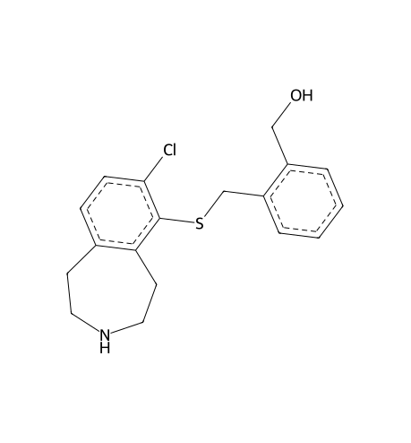 OCc1ccccc1CSc1c(Cl)ccc2c1CCNCC2